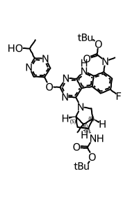 CC(O)c1ncc(Oc2nc(N3C[C@H]4[C@@H](C)[C@@H]3C[C@H]4NC(=O)OC(C)(C)C)c3c(n2)[nH]c2c(N(C)C(=O)OC(C)(C)C)cc(F)cc23)cn1